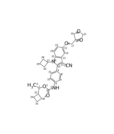 CC(OC(=O)Nc1ccc(-c2c(C#N)c3cc(OCC4COCO4)ccc3n2C2CCC2)cc1)C1CCC1